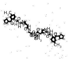 Cc1ccc(NC(=O)Nc2ncc(CC(=O)NCC(=O)ON(C(=O)Cc3cnc(NC(=O)Nc4ccc(C)cc4C(=O)C4CCCC4)s3)S(C)(=O)=O)s2)c(C(=O)C2CCCC2)c1